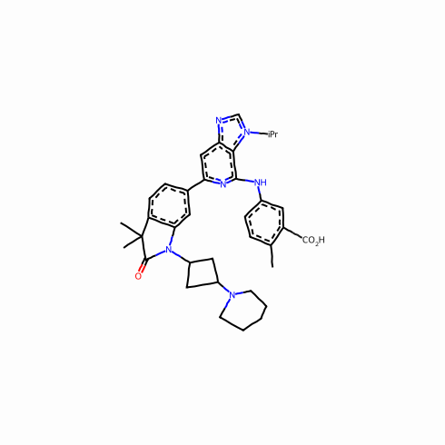 Cc1ccc(Nc2nc(-c3ccc4c(c3)N(C3CC(N5CCCCC5)C3)C(=O)C4(C)C)cc3ncn(C(C)C)c23)cc1C(=O)O